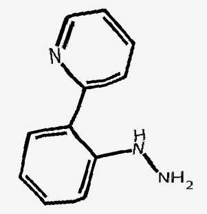 NNc1ccccc1-c1ccccn1